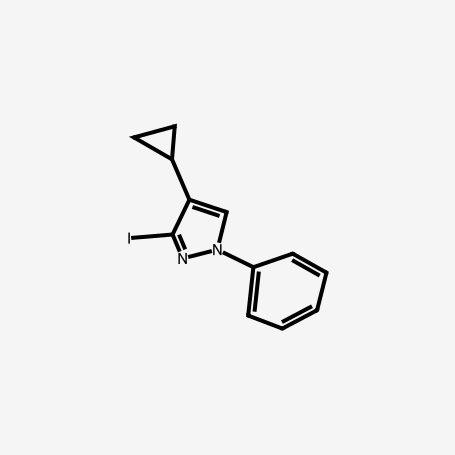 Ic1nn(-c2ccccc2)cc1C1CC1